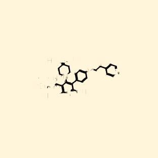 Cc1nc(C)c([C@H](OC(C)(C)C)C(=O)O)c(N2CCC(C)(C)CC2)c1-c1ccc(OCCc2ccncc2)cc1